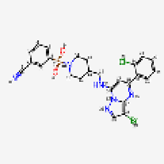 N#Cc1cccc(S(=O)(=O)N2CCC(CNc3cc(-c4ccccc4Cl)nc4c(Br)cnn34)CC2)c1